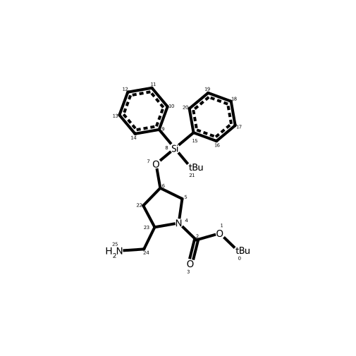 CC(C)(C)OC(=O)N1CC(O[Si](c2ccccc2)(c2ccccc2)C(C)(C)C)CC1CN